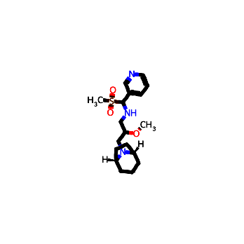 COC(CNC(c1cccnc1)S(C)(=O)=O)CN1[C@@H]2C[CH]C[C@H]1CC2